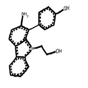 Nc1ccc2c3ccccc3n(CCO)c2c1-c1ccc(O)cc1